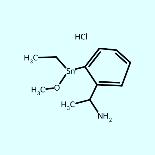 C[CH2][Sn]([O]C)[c]1ccccc1C(C)N.Cl